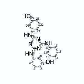 Oc1cccc(Nc2nc(Nc3ccccc3)nc(Nc3cccc(O)c3)n2)c1